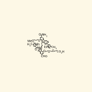 CCn1nc(C)cc1C(=O)Nc1nc2cc(C=O)cc(OCCOCCOCCC(=O)O)c2n1C/C=C/Cn1c2nc(-c3cc(C)nn3CC)ncc2c2cc(C(N)=O)cc(OCCCOC)c21